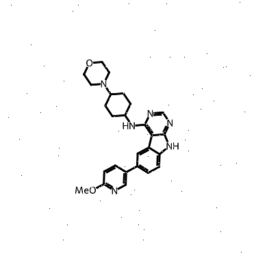 COc1ccc(-c2ccc3[nH]c4ncnc(NC5CCC(N6CCOCC6)CC5)c4c3c2)cn1